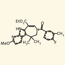 CCOC(=O)C1=CN(C(=O)c2ccc(F)c(C)c2)CC(C)(C)c2c1[nH]c1nc(OC)ccc21